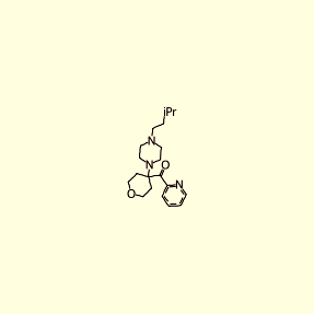 CC(C)CCN1CCN(C2(C(=O)c3ccccn3)CCOCC2)CC1